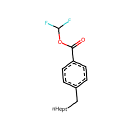 CCCCCCCCc1ccc(C(=O)OC(F)F)cc1